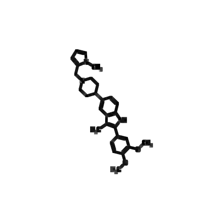 COc1ccc(-c2[nH]c3ccc(C4CCN(Cc5cccn5C)CC4)cc3c2C)cc1OC